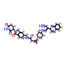 N=C/C(=C\NC1CCN(C2CC2CC(=O)NCC2C=C3CN(C4CCC(=O)NC4=O)C(=O)C3=CC2)CC1)c1cnc2ccccc2n1